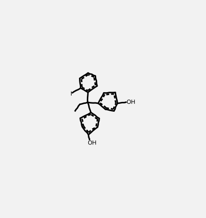 CCC(c1ccc(O)cc1)(c1ccc(O)cc1)c1ccccc1I